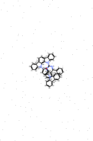 c1ccc(-c2nc(-n3c4ccccc4c4ccc5c6ccccc6n(-c6ccc(-n7c8ccccc8c8ccccc87)cc6)c5c43)nc3ccccc23)cc1